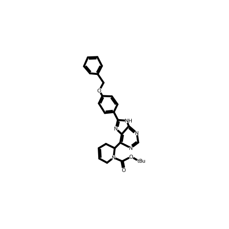 CC(C)(C)OC(=O)N1CC=CCC1c1ncnc2[nH]c(-c3ccc(OCc4ccccc4)cc3)nc12